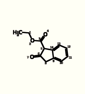 CCOC(=O)C1C(=O)Cc2ccccc21